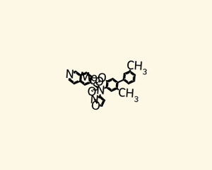 COc1cc(-c2cccc(C)c2)c(C)cc1N(c1ccon1)S(=O)(=O)c1ccc2cnccc2c1